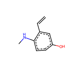 C=Cc1cc(O)ccc1NC